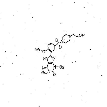 CCCCn1c(=O)n2cnnc2c2[nH]c(-c3cc(S(=O)(=O)N4CCN(CCO)CC4)ccc3OCCC)nc21